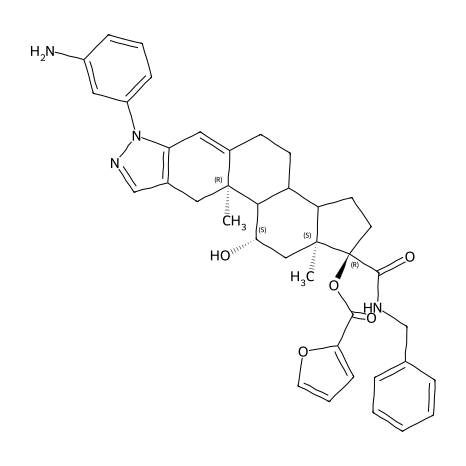 C[C@]12Cc3cnn(-c4cccc(N)c4)c3C=C1CCC1C2[C@@H](O)C[C@@]2(C)C1CC[C@]2(OC(=O)c1ccco1)C(=O)NCc1ccccc1